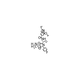 C[C@]1(C(N)=O)COc2c1cc([C@@H](CNC(=O)c1cc(OC3CC3)n3nc(C4CC4)cc3c1)C1CCC1)nc2-c1ccc(F)cc1